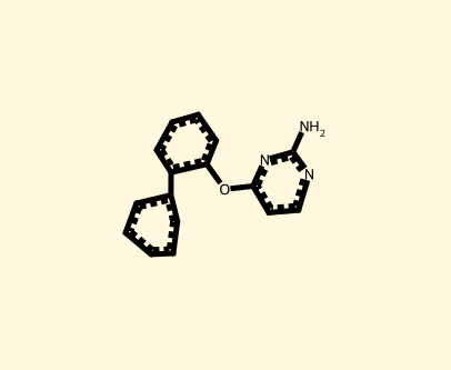 Nc1nccc(Oc2ccccc2-c2ccccc2)n1